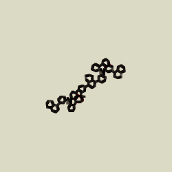 CC1(C)c2cc(-c3ccc(-c4cccc(N(c5cccc(-c6cccc7ccccc67)c5)c5ccccc5-c5ccccc5)c4)c4ccccc34)ccc2-c2ccc(N(c3cccc(-c4cccc5ccccc45)c3)c3ccccc3-c3ccccc3)cc21